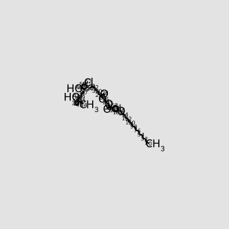 CCCCCCCCCCCCCCCCOc1ccc(C(=O)OCCOC(=O)CCC/C=C\C[C@@H]2[C@@H](/C=C/C[C@H](O)C3(CC)CCC3)[C@H](O)C[C@H]2Cl)cc1